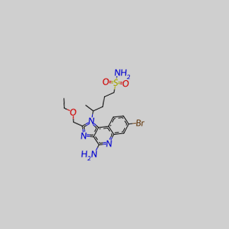 CCOCc1nc2c(N)nc3cc(Br)ccc3c2n1C(C)CCCS(N)(=O)=O